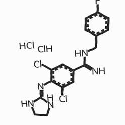 Cl.Cl.N=C(NCc1ccc(F)cc1)c1cc(Cl)c(N=C2NCCN2)c(Cl)c1